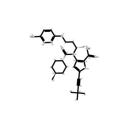 C[C@@H](CCOc1ccc(O)nn1)N(c1cc(C#CC(C)(C)C)sc1C(=O)O)C(=O)[C@H]1CC[C@H](C)CC1